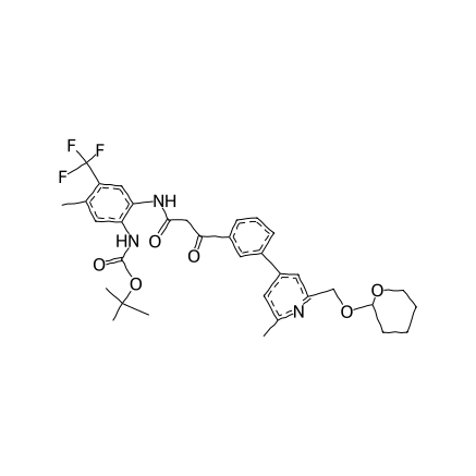 Cc1cc(-c2cccc(C(=O)CC(=O)Nc3cc(C(F)(F)F)c(C)cc3NC(=O)OC(C)(C)C)c2)cc(COC2CCCCO2)n1